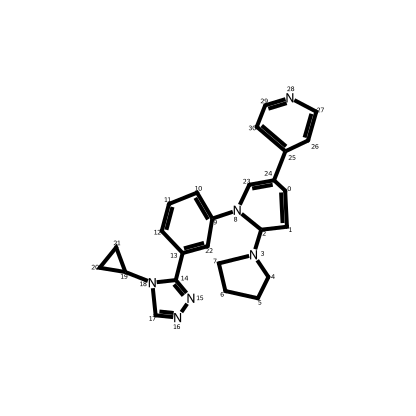 C1=CC(N2CCCC2)N(c2cccc(-c3nncn3C3CC3)c2)C=C1c1ccncc1